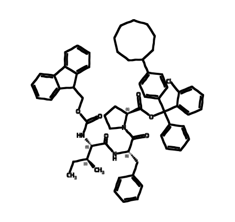 CC[C@H](C)[C@H](NC(=O)OCC1c2ccccc2-c2ccccc21)C(=O)N[C@@H](Cc1ccccc1)C(=O)N1CCC[C@H]1C(=O)OC(c1ccccc1)(c1ccc(C2CCCCCCCC2)cc1)c1ccccc1Cl